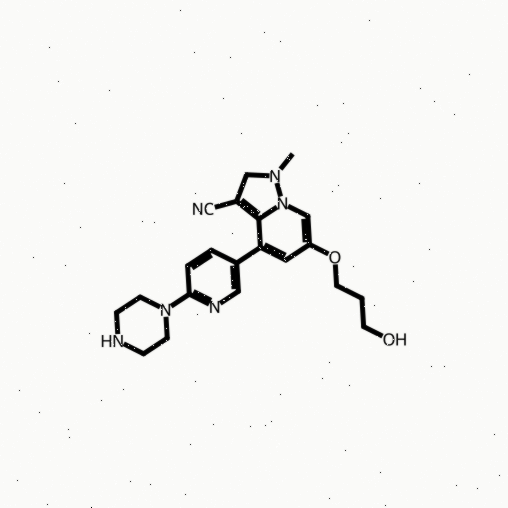 CN1CC(C#N)=C2C(c3ccc(N4CCNCC4)nc3)=CC(OCCCO)=CN21